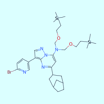 C[Si](C)(C)CCOCN(COCC[Si](C)(C)C)c1cc(C2CC3CCC(C3)C2)nc2c(-c3ccc(Br)nc3)cnn12